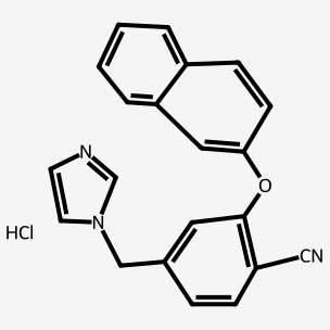 Cl.N#Cc1ccc(Cn2ccnc2)cc1Oc1ccc2ccccc2c1